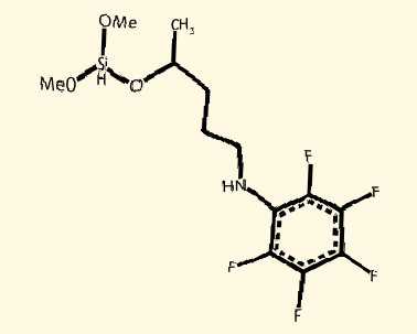 CO[SiH](OC)OC(C)CCCNc1c(F)c(F)c(F)c(F)c1F